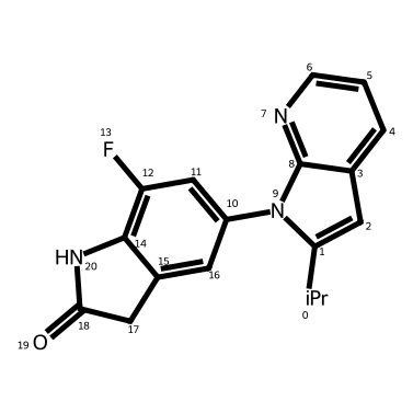 CC(C)c1cc2cccnc2n1-c1cc(F)c2c(c1)CC(=O)N2